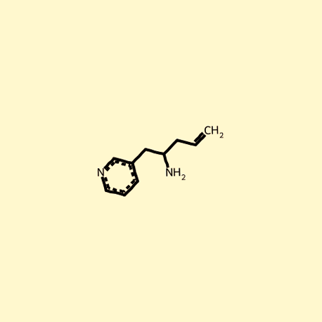 C=CCC(N)Cc1cccnc1